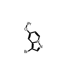 CC(C)Oc1ccn2ncc(Br)c2c1